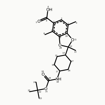 Cc1cc(C(=O)O)c(C)c2c1OC(C)(C1CCC(NC(=O)OC(C)(C)C)CC1)O2